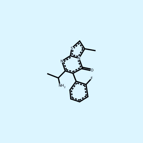 Cc1csc2nc(C(C)N)c(-c3ccccc3F)c(=O)n12